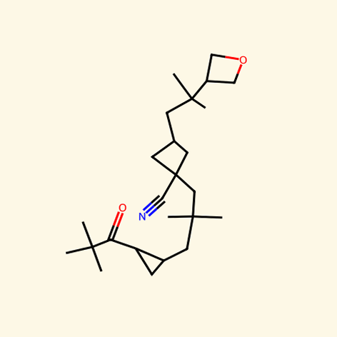 CC(C)(CC1CC1C(=O)C(C)(C)C)CC1(C#N)CC(CC(C)(C)C2COC2)C1